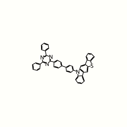 c1ccc(-c2nc(-c3ccccc3)nc(-c3ccc(-c4ccc(-n5c6ccccc6c6cc7sc8ccccc8c7cc65)cc4)cc3)n2)cc1